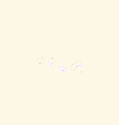 COc1cc(-c2cn(CC3(c4cc(C(C)(C)O)c(F)c(-c5ccc(F)cc5)n4)CCCO3)nn2)cc2cccnc12